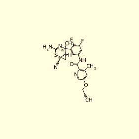 C#CCOc1cnc(C(=O)Nc2cc(F)c(F)c([C@@]3(C)N=C(N)S[C@@]4(C#N)C[C@H]43)c2)c(C)c1